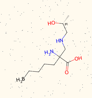 BCCCCC(N)(CNC[C@@H](C)O)C(=O)O